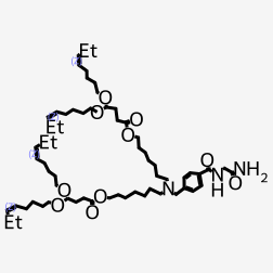 CC/C=C\CCCCOC(CCC(=O)OCCCCCCCN(CCCCCCCOC(=O)CCC(OCCCC/C=C\CC)OCCCC/C=C\CC)Cc1ccc(C(=O)NCC(N)=O)cc1)OCCCC/C=C\CC